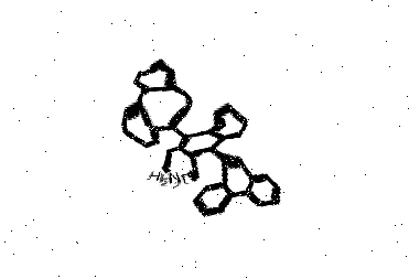 C=Cc1c(/C=C\N)c(-c2cc3ccccc3c3ccccc23)c2ccccc2c1-c1cc2ccccc2c2ccccc12